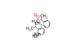 CC(C)c1ccccc1.CC(C)c1ccccc1.[Na+].[Na+].[O-][O-]